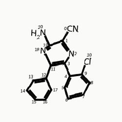 N#Cc1nc(-c2ccccc2Cl)c(-c2ccccc2)nc1N